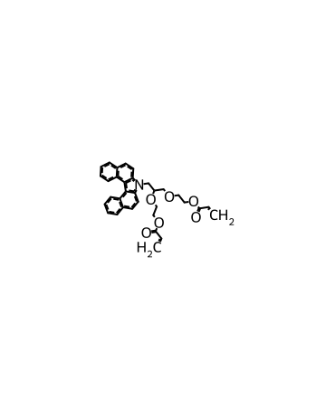 C=CC(=O)OCCOCC(Cn1c2ccc3ccccc3c2c2c3ccccc3ccc21)OCCOC(=O)C=C